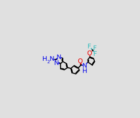 Nc1ncc2cc(-c3cccc(C(=O)Nc4cccc(OC(F)(F)F)c4)c3)ccc2n1